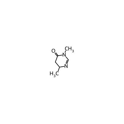 CC1CC(=O)N(C)C=N1